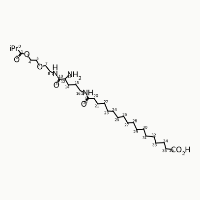 CC(C)C(=O)OCCOCCNC(=O)C(N)CCCNC(=O)CCCCCCCCCCCCCCCCC(=O)O